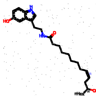 CCCCCC[C@H](O)C/C=C\CCCCCCCC(=O)NCCc1c[nH]c2ccc(O)cc12